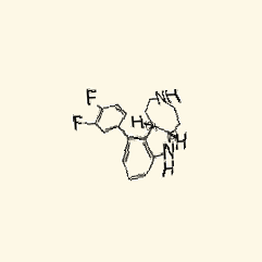 Fc1ccc(-c2cccc3c2[C@@H]2CCNCC[C@@H]2N3)cc1F